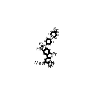 COc1cc(-c2cc3[nH]c(=O)n(C4CCC(N5CCC(F)(F)CC5)CC4)c3cc2C(C)C)cn2ncnc12